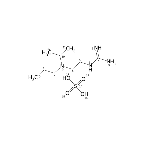 CCCN(CCNC(=N)N)C(C)C.O=S(=O)(O)O